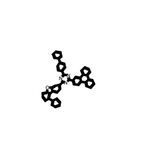 c1ccc(-c2ccc(-c3nc(-c4ccc5c(c4)oc4cccc(-c6ccccc6)c45)nc(-c4ccc5c6ccccc6c6ccccc6c5c4)n3)cc2)cc1